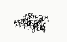 Cc1c(Oc2cccc(NS(=O)(=O)NC(S)(S)S)c2OC(F)(F)F)c(C(=O)NC(C)C)c(Nc2ccc(I)cc2F)n(C)c1=O